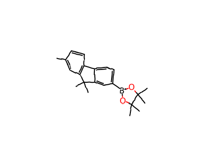 Cc1ccc2c(c1)C(C)(C)c1cc(B3OC(C)(C)C(C)(C)O3)ccc1-2